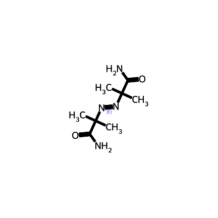 CC(C)(/N=N/C(C)(C)C(N)=O)C(N)=O